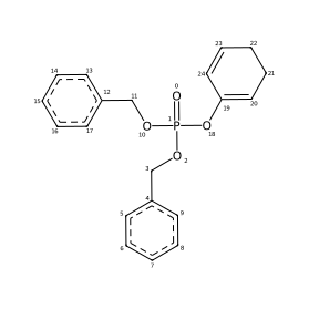 O=P(OCc1ccccc1)(OCc1ccccc1)OC1=CCCC=C1